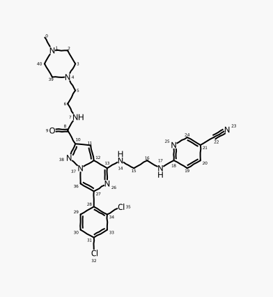 CN1CCN(CCNC(=O)c2cc3c(NCCNc4ccc(C#N)cn4)nc(-c4ccc(Cl)cc4Cl)cn3n2)CC1